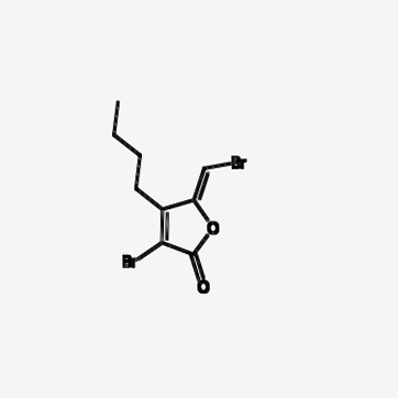 CCCCC1=C(Br)C(=O)OC1=CBr